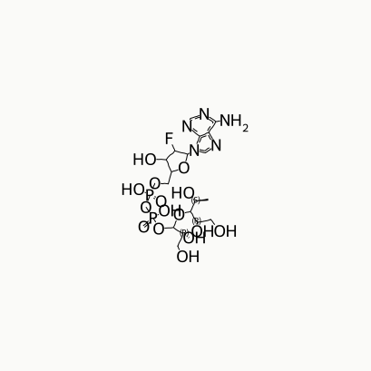 C[C@H](O)C(OC(OP(=O)(O)OP(=O)(O)OCC1OC(n2cnc3c(N)ncnc32)C(F)C1O)[C@H](O)CO)[C@H](O)CO